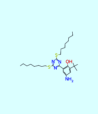 CCCCCCCCSc1nc(SCCCCCCCC)nc(-c2cc(N)cc(C(C)(C)C)c2O)n1